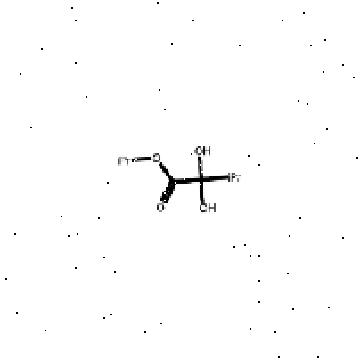 CC(C)OC(=O)C(O)(O)C(C)C